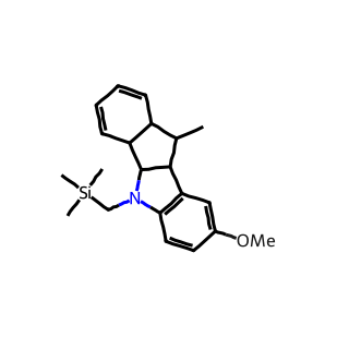 COc1ccc2c(c1)C1C(C)C3C=CC=CC3C1N2C[Si](C)(C)C